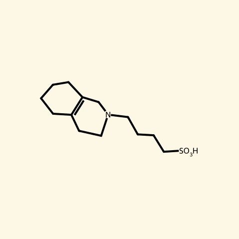 O=S(=O)(O)CCCCN1CCC2=C(CCCC2)C1